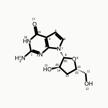 Nc1nc2c(ccn2[C@@H]2O[C@H](CO)C[C@H]2O)c(=O)[nH]1